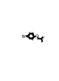 CC(C)COc1[c]cc(Br)cc1